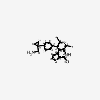 Cc1nc(C)c2[nH]c(=O)c3sccc3c2c1-c1ccc(C2(CN)CC2)cc1